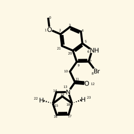 COc1ccc2[nH]c(Br)c(CC(=O)N3C[C@@H]4C=C[C@H]3C4)c2c1